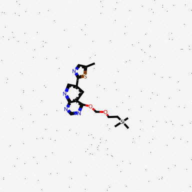 Cc1cnc(-c2cnc3ncnc(OCOCC[Si](C)(C)C)c3c2)s1